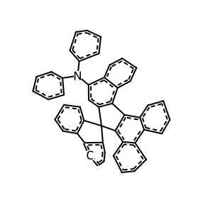 c1ccc(N(c2ccccc2)c2cc3c(c4ccccc24)-c2c(c4ccccc4c4ccccc24)C32c3ccccc3-c3ccccc32)cc1